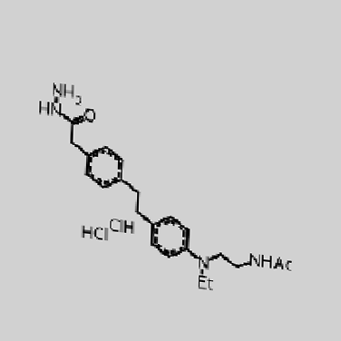 CCN(CCNC(C)=O)c1ccc(CCc2ccc(CC(=O)NN)cc2)cc1.Cl.Cl